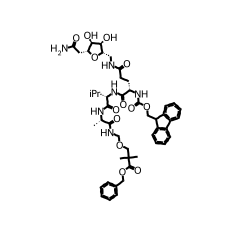 CC(C)[C@H](NC(=O)[C@H](CCC(=O)NC[C@@H]1O[C@H](CC(N)=O)[C@@H](O)[C@H]1O)NC(=O)OCC1c2ccccc2-c2ccccc21)C(=O)N[C@@H](C)C(=O)NCOCC(C)(C)C(=O)OCc1ccccc1